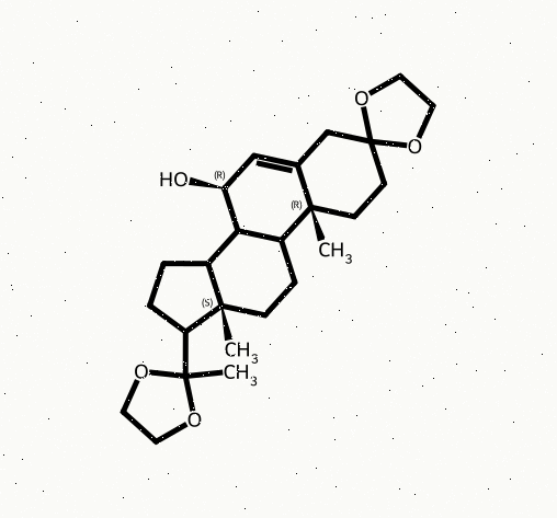 CC1(C2CCC3C4C(CC[C@@]32C)[C@@]2(C)CCC3(CC2=C[C@@H]4O)OCCO3)OCCO1